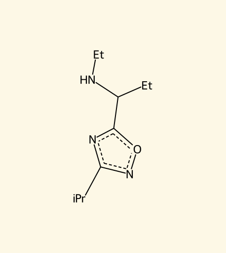 CCNC(CC)c1nc(C(C)C)no1